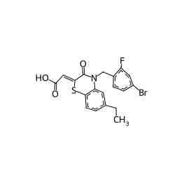 CCc1ccc2c(c1)N(Cc1ccc(Br)cc1F)C(=O)C(=CC(=O)O)S2